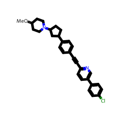 COC1CCN(C2CCC(c3ccc(C#Cc4ccc(-c5ccc(Cl)cc5)cn4)cc3)C2)CC1